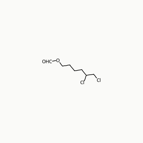 O=COCCCCC(Cl)CCl